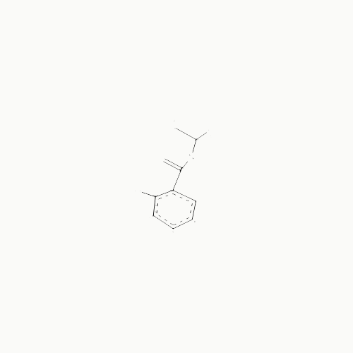 O=C(NC(Cl)C(Cl)(Cl)Cl)c1ccccc1O